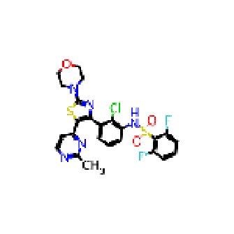 Cc1nccc(-c2sc(N3CCOCC3)nc2-c2cccc(NS(=O)(=O)c3c(F)cccc3F)c2Cl)n1